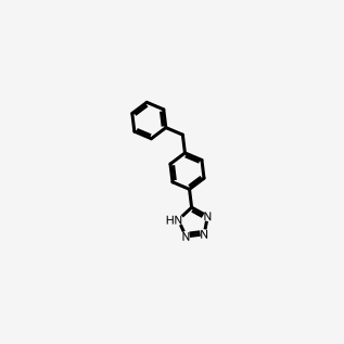 c1ccc(Cc2ccc(-c3nnn[nH]3)cc2)cc1